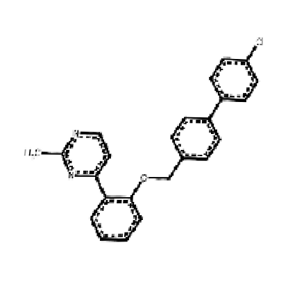 Cc1nccc(-c2ccccc2OCc2ccc(-c3ccc(Cl)cc3)cc2)n1